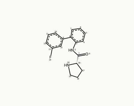 O=C(Nc1ccccc1-c1cccc(F)c1)[C@@H]1CCCN1